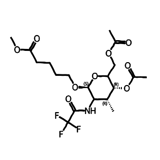 COC(=O)CCCCO[C@H]1OC(COC(C)=O)[C@H](OC(C)=O)[C@H](C)C1NC(=O)C(F)(F)F